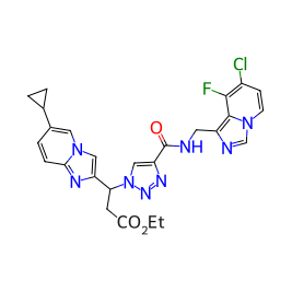 CCOC(=O)CC(c1cn2cc(C3CC3)ccc2n1)n1cc(C(=O)NCc2ncn3ccc(Cl)c(F)c23)nn1